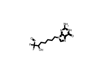 Nc1nc2c(ncn2CCCCCC(O)C(F)(F)P=O)c(=O)[nH]1